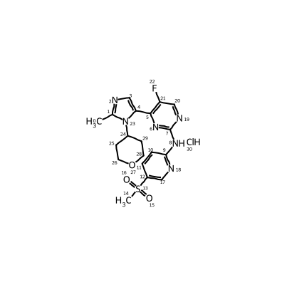 Cc1ncc(-c2nc(Nc3ccc(S(C)(=O)=O)cn3)ncc2F)n1C1CCOCC1.Cl